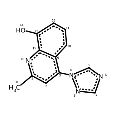 Cc1cc(-n2cncn2)c2cccc(O)c2n1